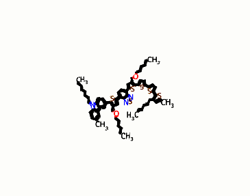 CCCCCCCCn1c2ccc(C)cc2c2cc(-c3sc(-c4ccc(-c5cc(COCCCCCC)c(-c6ccc(-c7ccc(-c8sc(C)cc8CCCCCC)s7)s6)s5)c5nsnc45)cc3COCCCCCC)ccc21